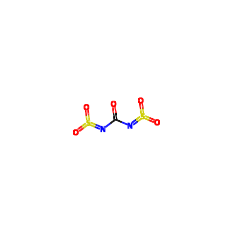 O=C(N=S(=O)=O)N=S(=O)=O